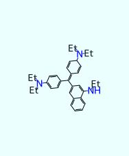 CCNc1cc(C(=C2C=CC(N(CC)CC)C=C2)c2ccc(N(CC)CC)cc2)cc2ccccc12